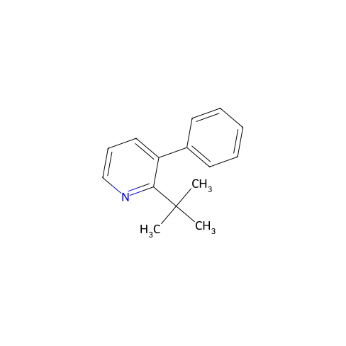 CC(C)(C)c1ncccc1-c1ccccc1